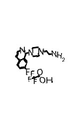 NCCN1CCN(c2nccc3ccc(F)cc23)CC1.O=C(O)C(F)(F)F